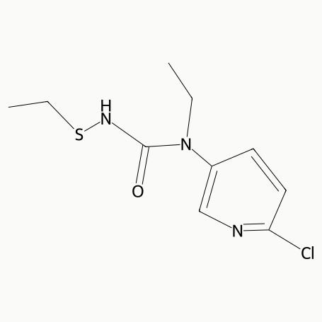 CCSNC(=O)N(CC)c1ccc(Cl)nc1